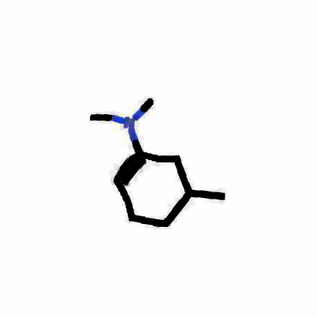 CC1CCC=C(N(C)C)C1